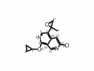 CC1(c2cnc(OC3CC3)c3cnc(Cl)cc23)CO1